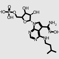 CC(C)CCNc1ncnc2c1c(C(N)=NO)cn2[C@@H]1OC(COP(=O)(O)O)C(O)[C@H]1O